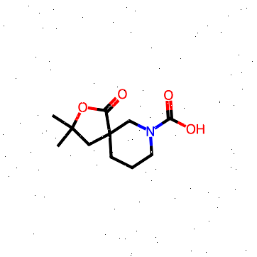 CC1(C)CC2(CCCN(C(=O)O)C2)C(=O)O1